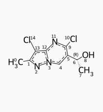 Cc1nn2cc([C@@H](C)O)c(Cl)nc2c1Cl